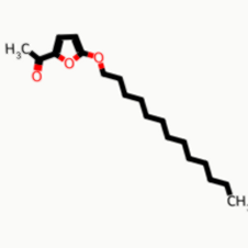 CCCCCCCCCCCCCOc1ccc(C(C)=O)o1